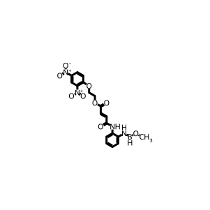 COBNc1ccccc1NC(=O)/C=C/C(=O)OCCOc1ccc([N+](=O)[O-])cc1[N+](=O)[O-]